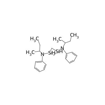 CCC(C)N(c1ccccc1)[SiH]1C[SiH](N(c2ccccc2)C(C)CC)C1